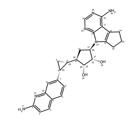 Nc1ccc2ccc([C@@H]3C[C@@H]3[C@H]3C[C@@H](n4c5c(c6c(N)ncnc64)CCC5)[C@H](O)[C@@H]3O)cc2n1